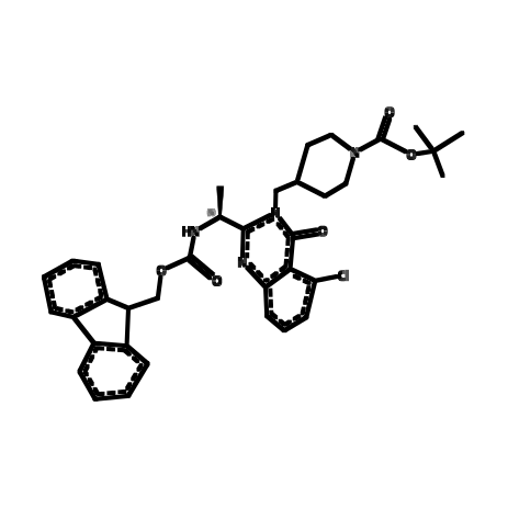 C[C@H](NC(=O)OCC1c2ccccc2-c2ccccc21)c1nc2cccc(Cl)c2c(=O)n1CC1CCN(C(=O)OC(C)(C)C)CC1